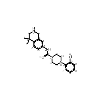 CC1(C)CNCc2cc(NC(=O)N3CCN(c4ncccc4Cl)CC3)ccc21